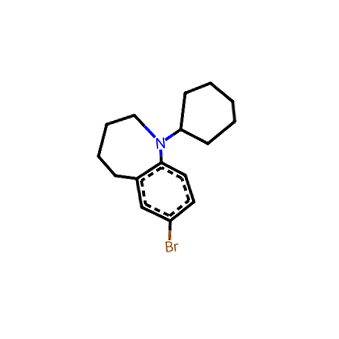 Brc1ccc2c(c1)CCCCN2C1CCCCC1